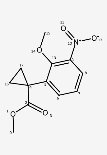 COC(=O)C1(c2cccc([N+](=O)[O-])c2OC)CC1